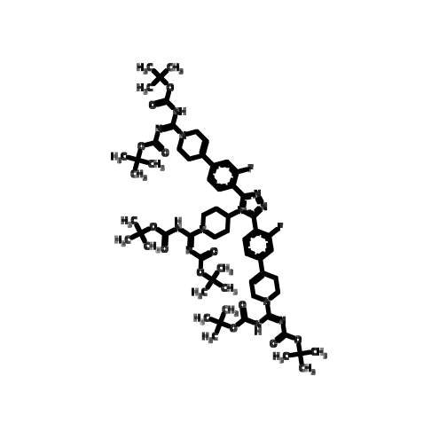 CC(C)(C)OC(=O)/N=C(/NC(=O)OC(C)(C)C)N1CC=C(c2ccc(-c3nnc(-c4ccc(C5=CCN(/C(=N/C(=O)OC(C)(C)C)NC(=O)OC(C)(C)C)CC5)cc4F)n3C3CCN(/C(=N\C(=O)OC(C)(C)C)NC(=O)OC(C)(C)C)CC3)c(F)c2)CC1